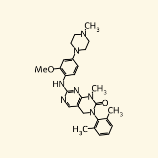 COc1cc(N2CCN(C)CC2)ccc1Nc1ncc2c(n1)N(C)C(=O)N(c1c(C)cccc1C)C2